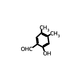 Cc1cc(O)c(C=O)cc1C